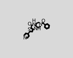 O=C1NC2(CCN(C(=O)c3ccccc3)CC2)Nc2cc(-c3ccncc3)sc21